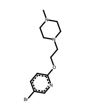 CN1CCN(CCOc2ccc(Br)cn2)CC1